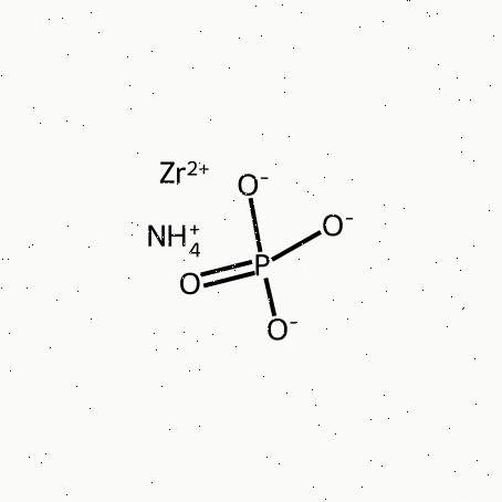 O=P([O-])([O-])[O-].[NH4+].[Zr+2]